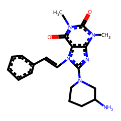 Cn1c(=O)c2c(nc(N3CCCC(N)C3)n2C=Cc2ccccc2)n(C)c1=O